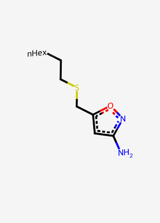 CCCCCCCCSCc1cc(N)no1